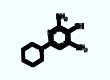 Nc1cc(N2CCCCC2)nc(N)c1O